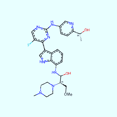 COC[C@H](C(O)Nc1cccc2c(-c3nc(Nc4ccc([C@@H](C)O)nc4)ncc3F)c[nH]c12)N1CCN(C)CC1